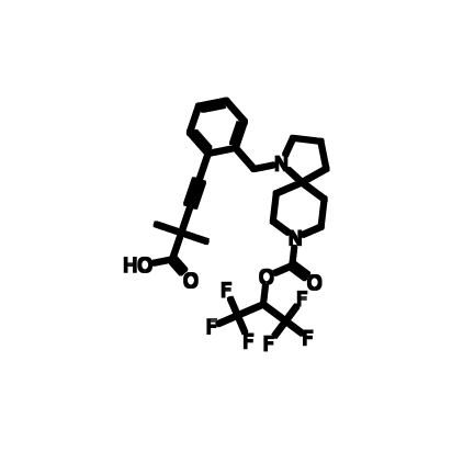 CC(C)(C#Cc1ccccc1CN1CCCC12CCN(C(=O)OC(C(F)(F)F)C(F)(F)F)CC2)C(=O)O